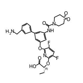 CC[C@@H](Oc1nc(Oc2cc(NC(=O)N3CCS(=O)(=O)CC3)cc(-c3cccc(CN)c3)c2)c(F)cc1F)C(=O)O